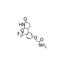 NC(=O)COc1ccc(C(F)(F)F)c(C2CCC(=O)NC2=O)c1